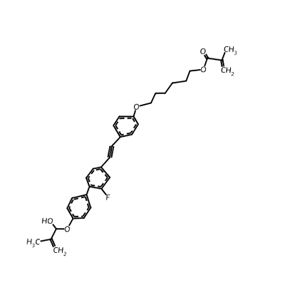 C=C(C)C(=O)OCCCCCCOc1ccc(C#Cc2ccc(-c3ccc(OC(O)C(=C)C)cc3)c(F)c2)cc1